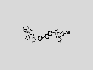 COC(=O)N[C@H](C(=O)N1CCC[C@H]1c1nc(-c2ccc(-c3ccc4cc(-c5c[nH]c(C6CC(O)CN6C(=O)OC(C)(C)C)n5)ccc4c3)cc2)c[nH]1)C(C)C